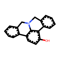 Oc1ccc2c3c1-c1ccccc1CN3Cc1ccccc1-2